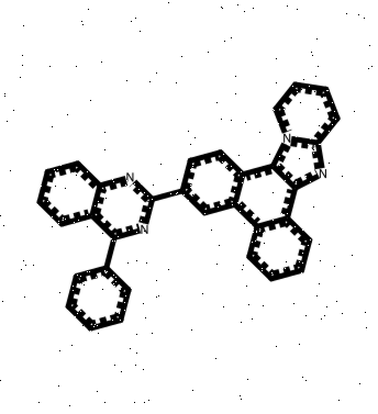 c1ccc(-c2nc(-c3ccc4c(c3)c3ccccc3c3nc5ccccn5c43)nc3ccccc23)cc1